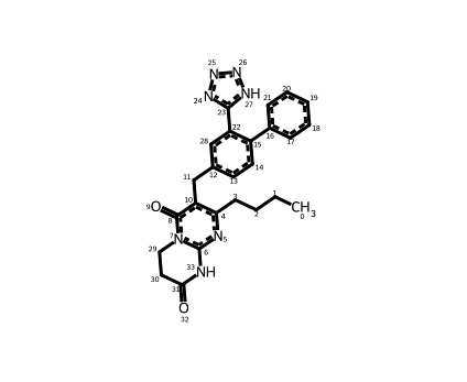 CCCCc1nc2n(c(=O)c1Cc1ccc(-c3ccccc3)c(-c3nnn[nH]3)c1)CCC(=O)N2